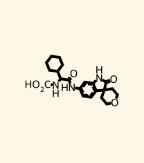 O=C(O)NC(C(=O)Nc1ccc2c(c1)NC(=O)C21CCOCC1)C1CCCCC1